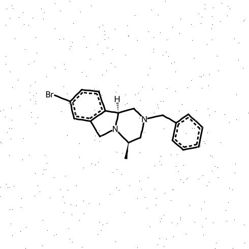 C[C@@H]1CN(Cc2ccccc2)C[C@@H]2c3ccc(Br)cc3CN12